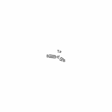 [B]#[Hf]#[B].[Ta]